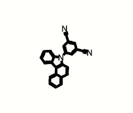 N#Cc1cc(C#N)cc(-n2c3ccccc3c3c4ccccc4ccc32)c1